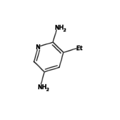 CCc1cc(N)cnc1N